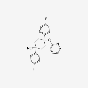 N#C[C@]1(c2ccc(F)cc2)CC[C@](Oc2ccccn2)(c2ccc(F)cn2)CC1